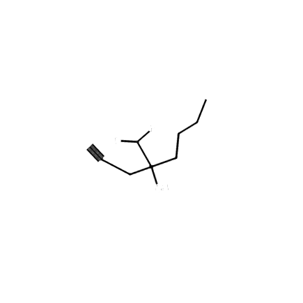 C#CCC(O)(CCCC)C(F)F